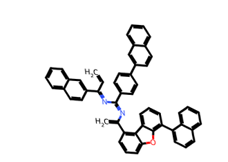 C=C/C(=N\C(=N/C(=C)c1cccc2oc3c(-c4cccc5ccccc45)cccc3c12)c1ccc(-c2ccc3ccccc3c2)cc1)c1ccc2ccccc2c1